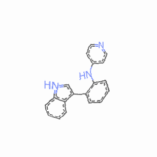 c1ccc(-c2c[nH]c3ccccc23)c(Nc2ccncc2)c1